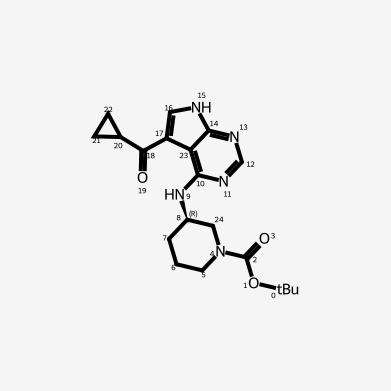 CC(C)(C)OC(=O)N1CCC[C@@H](Nc2ncnc3[nH]cc(C(=O)C4CC4)c23)C1